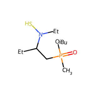 CCC(CP(C)(=O)OCC(C)C)N(S)CC